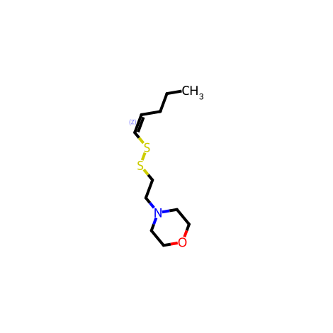 CCC/C=C\SSCCN1CCOCC1